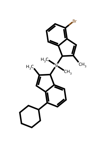 CC1=Cc2c(Br)cccc2C1[Si](C)(C)C1C(C)=Cc2c(C3CCCCC3)cccc21